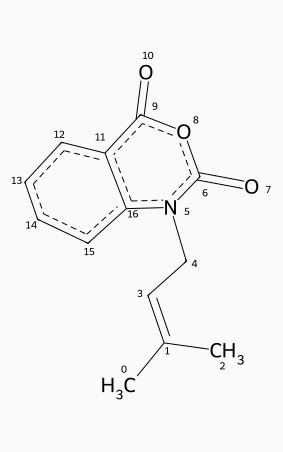 CC(C)=CCn1c(=O)oc(=O)c2ccccc21